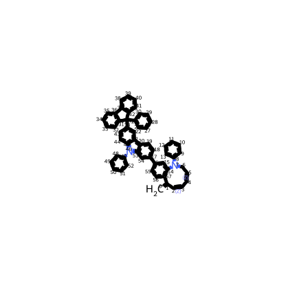 C=C1/C=C\C=C/CN(c2ccccc2)c2cc(-c3ccc4c5cc(C6(c7ccccc7)c7ccccc7-c7ccccc76)ccc5n(-c5ccccc5)c4c3)ccc21